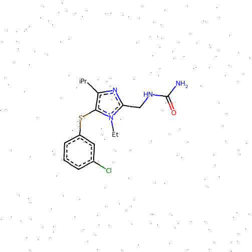 CCn1c(CNC(N)=O)nc(C(C)C)c1Sc1cccc(Cl)c1